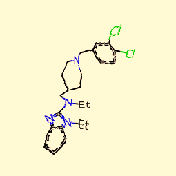 CCN(CC1CCN(Cc2ccc(Cl)c(Cl)c2)CC1)c1nc2ccccc2n1CC